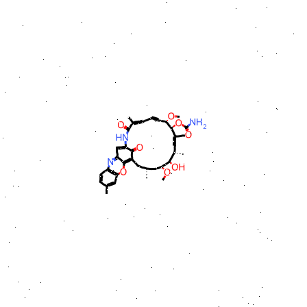 CO[C@H]1/C=C\C=C(/C)C(=O)Nc2cc3nc4ccc(C)cc4oc-3c(c2=O)C[C@@H](C)C[C@H](OC)[C@H](O)[C@@H](C)/C=C(\C)[C@@H]1OC(N)=O